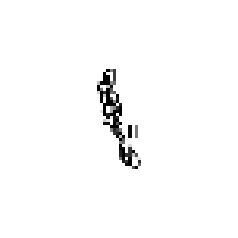 Cn1c(=O)c(Cc2ccc(Cl)cc2)cc2cnc(NCCCN3CCOCC3)nc21